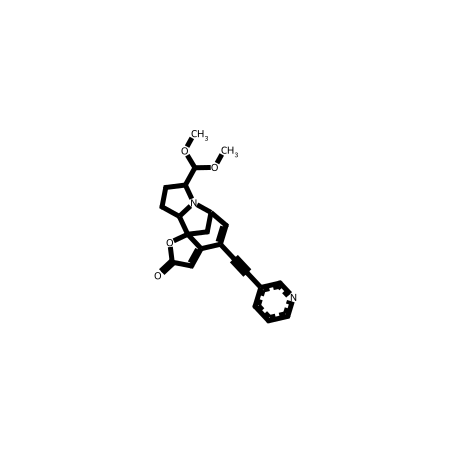 COC(OC)C1CCC2N1C1C=C(C#Cc3cccnc3)C3=CC(=O)OC32C1